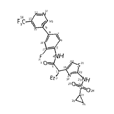 CC[C@@H](C(=O)Nc1ccc(-c2cncc(C(F)(F)F)c2)cc1F)c1csc(NS(=O)(=O)C2CC2)n1